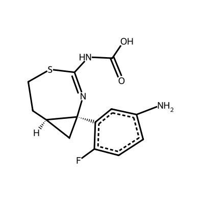 Nc1ccc(F)c([C@]23C[C@H]2CCSC(NC(=O)O)=N3)c1